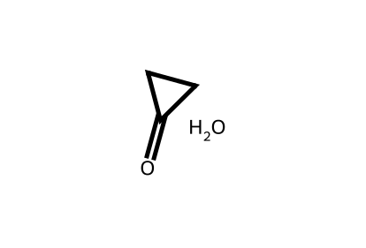 O.O=C1CC1